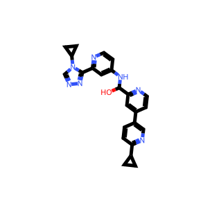 OC(Nc1ccnc(-c2nncn2C2CC2)c1)c1cc(-c2ccc(C3CC3)nc2)ccn1